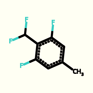 Cc1cc(F)c(C(F)F)c(F)c1